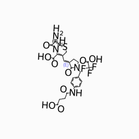 N[C@@H]1C(=O)N2C(C(=O)O)=C(/C=C3\CCN(Cc4ccc(NC(=O)CCC(=O)O)cc4)C3=O)CS[C@H]12.O=C(O)C(F)(F)F